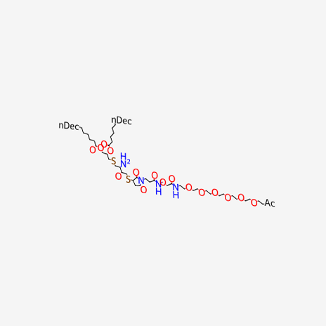 CCCCCCCCCCCCCCCC(=O)OCC(CSCC(N)C(=O)CSC1CC(=O)N(CCC(=O)NOCC(=O)NCCOCCOCCOCCOCCOCCOCCC(C)=O)C1=O)OC(=O)CCCCCCCCCCCCCCC